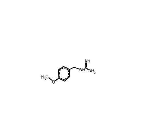 COc1ccc(CNC(=N)N)cc1